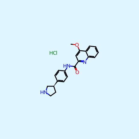 COc1cc(C(=O)Nc2ccc([C@H]3CCNC3)cc2)nc2ccccc12.Cl